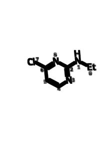 CCNc1nccc(Cl)n1